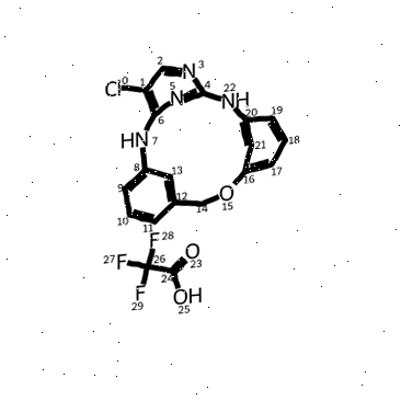 Clc1cnc2nc1Nc1cccc(c1)COc1cccc(c1)N2.O=C(O)C(F)(F)F